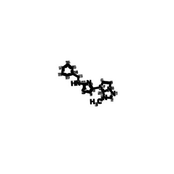 CN1C=NN2C=CS(c3csc(NCc4ccccc4)n3)=C12